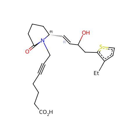 CCc1ccsc1CC(O)/C=C/[C@H]1CCCC(=O)N1CC#CCCCC(=O)O